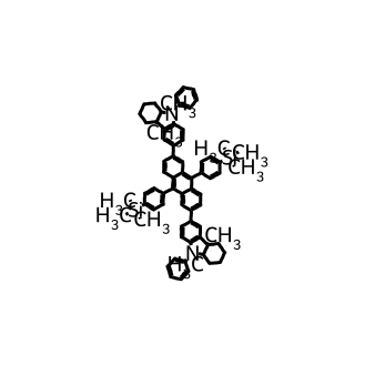 CC12CCCCC1(C)N(c1ccccc1)c1ccc(-c3ccc4c(-c5ccc([Si](C)(C)C)cc5)c5cc(-c6ccc7c(c6)C6(C)CCCCC6(C)N7c6ccccc6)ccc5c(-c5ccc([Si](C)(C)C)cc5)c4c3)cc12